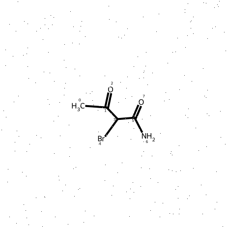 CC(=O)C(Br)C(N)=O